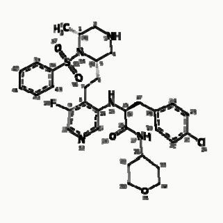 C[C@@H]1CNC[C@H](CCc2c(F)cncc2N[C@@H](Cc2ccc(Cl)cc2)C(=O)NC2CCOCC2)N1S(=O)(=O)c1ccccc1